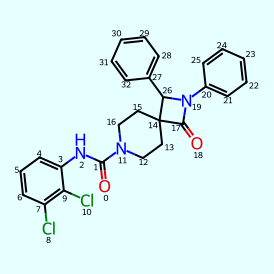 O=C(Nc1cccc(Cl)c1Cl)N1CCC2(CC1)C(=O)N(c1ccccc1)C2c1ccccc1